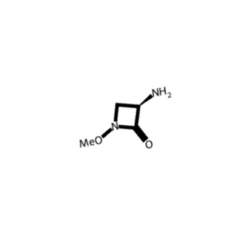 CON1C[C@@H](N)C1=O